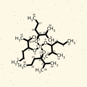 CCCC([O][Ti]([O]C(CCC)C(C)C)([O]C(CCC)C(C)C)[O]C(CCC)C(C)C)C(C)C